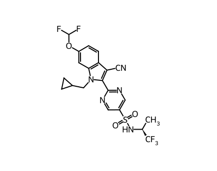 C[C@H](NS(=O)(=O)c1cnc(-c2c(C#N)c3ccc(OC(F)F)cc3n2CC2CC2)nc1)C(F)(F)F